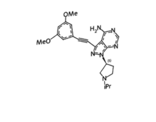 COc1cc(C#Cc2nn([C@H]3CCN(C(C)C)C3)c3ncnc(N)c23)cc(OC)c1